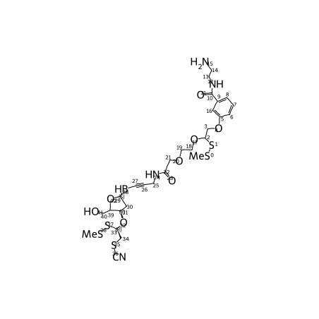 CSSC(COc1cccc(C(=O)NCCN)c1)OCCOCC(=O)NCC#CB[C@H]1C[C@@H](O[C@@H](CSC#N)SSC)C(CO)O1